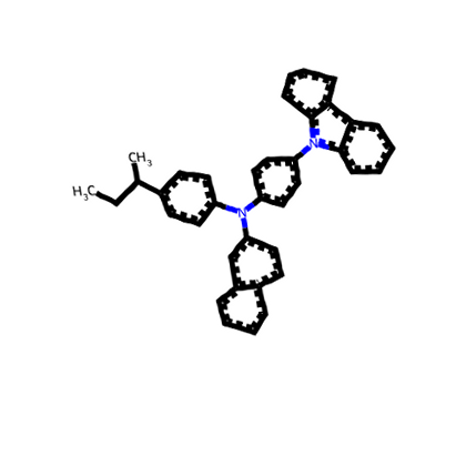 CCC(C)c1ccc(N(c2ccc(-n3c4ccccc4c4ccccc43)cc2)c2ccc3ccccc3c2)cc1